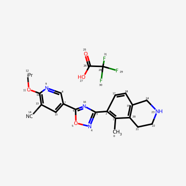 Cc1c(-c2noc(-c3cnc(OC(C)C)c(C#N)c3)n2)ccc2c1CCNC2.O=C(O)C(F)(F)F